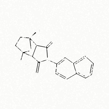 CC12CC[C@@](C)(O1)[C@H]1C(=O)N(c3ccc4ccccc4c3)C(=O)[C@H]12